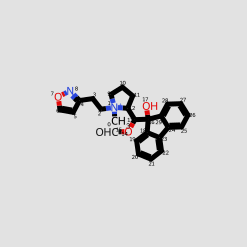 C[N+]1(CCc2ccon2)CCCC1C(OC=O)C1(O)c2ccccc2-c2ccccc21